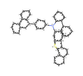 c1ccc(-c2ccccc2N(c2ccc(-c3cc4ccccc4c4ccccc34)cc2)c2ccc3c(c2)sc2c4ccccc4ccc32)cc1